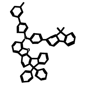 CC1C=C(c2ccc(N(c3ccc(-c4ccc5c(c4)C(C)(C)c4ccc#cc4-5)cc3)c3cccc4c3oc3c5c(ccc34)C(c3ccccc3)(c3ccccc3)c3ccccc3-5)cc2)C=CC1